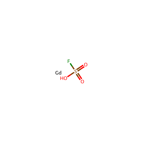 O=S(=O)(O)F.[Gd]